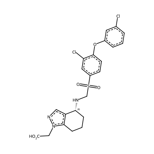 O=C(O)Cn1ncc2c1CCC[C@H]2NCS(=O)(=O)c1ccc(Oc2cccc(Cl)c2)c(Cl)c1